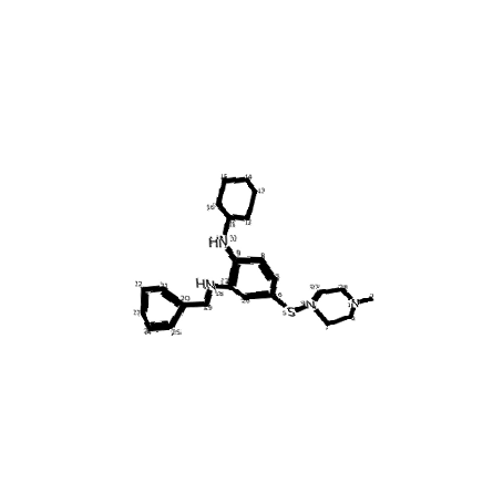 CN1CCN(Sc2ccc(NC3CCCCC3)c(NCc3ccccc3)c2)CC1